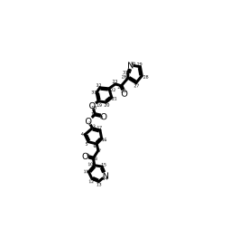 O=C(Oc1ccc(CC(=O)c2cccnc2)cc1)Oc1ccc(CC(=O)c2cccnc2)cc1